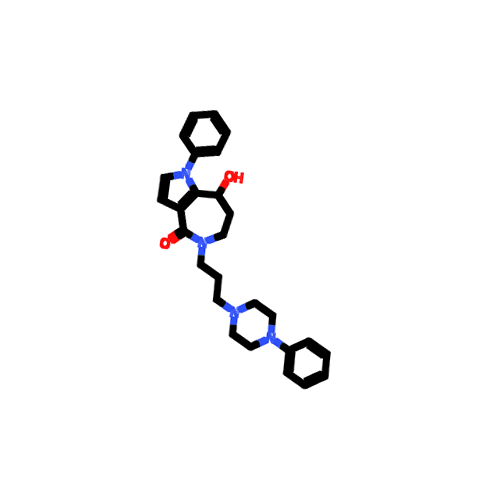 O=C1c2ccn(-c3ccccc3)c2C(O)CCN1CCCN1CCN(c2ccccc2)CC1